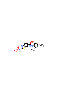 Cc1cc(C)c(NC(=O)c2ccc3nc(NC(=O)O)sc3c2)c(Br)c1